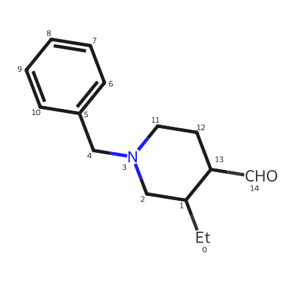 CCC1CN(Cc2ccccc2)CCC1C=O